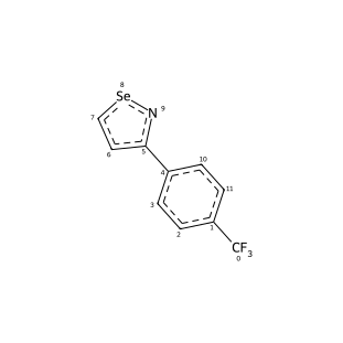 FC(F)(F)c1ccc(-c2cc[se]n2)cc1